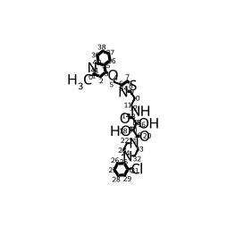 Cc1cc(OCc2csc(CCNC(=O)[C@H](O)[C@@H](O)C(=O)N3CCN(c4ccccc4Cl)CC3)n2)c2ccccc2n1